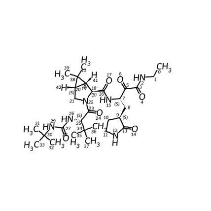 CCNC(=O)C(=O)[C@H](C[C@@H]1CCNC1=O)NC(=O)[C@@H]1[C@@H]2[C@H](CN1C(=O)[C@@H](NC(=O)NC(C)(C)C)C(C)(C)C)C2(C)C